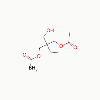 BC(=O)OCC(CC)(CO)COC(=O)I